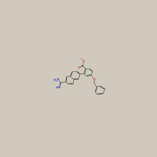 COC(=O)c1ccc(OCc2ccccc2)cc1-c1ccc2cc(C(=N)N)ccc2c1